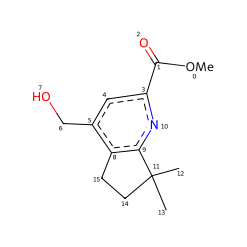 COC(=O)c1cc(CO)c2c(n1)C(C)(C)CC2